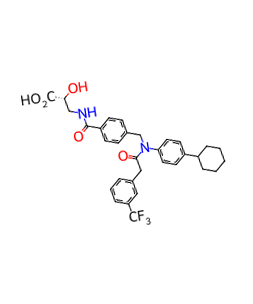 O=C(NC[C@@H](O)C(=O)O)c1ccc(CN(C(=O)Cc2cccc(C(F)(F)F)c2)c2ccc(C3CCCCC3)cc2)cc1